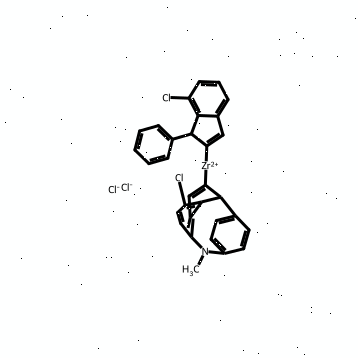 CN1c2ccc(cc2)C2[C]([Zr+2][C]3=Cc4cccc(Cl)c4C3c3ccccc3)=Cc3c1ccc(Cl)c32.[Cl-].[Cl-]